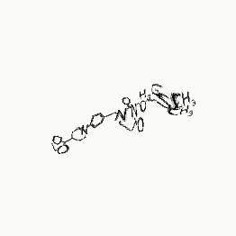 C[Si](C)(C)CCOCN1C(=O)CCN(Cc2ccc(N3CCC(C4OCCO4)CC3)cc2)C1=O